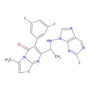 Cc1csc2nc(C(C)Nn3cnc4cnc(F)nc43)c(-c3cc(F)cc(F)c3)c(=O)n12